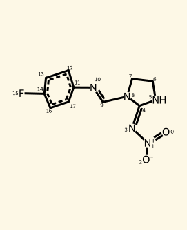 O=[N+]([O-])N=C1NCCN1C=Nc1ccc(F)cc1